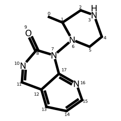 CC1CNCCN1n1c(=O)ncc2cccnc21